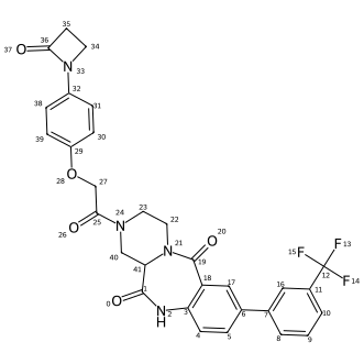 O=C1Nc2ccc(-c3cccc(C(F)(F)F)c3)cc2C(=O)N2CCN(C(=O)COc3ccc(N4CCC4=O)cc3)CC12